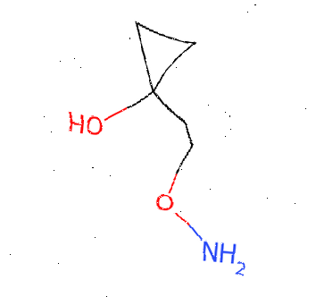 NOCC1(O)CC1